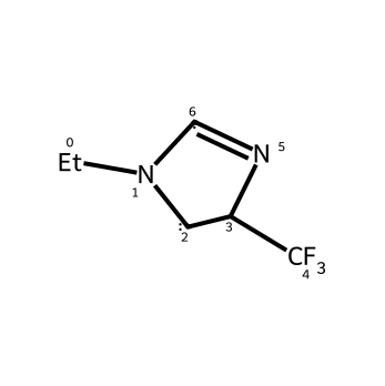 CCN1[C]C(C(F)(F)F)N=[C]1